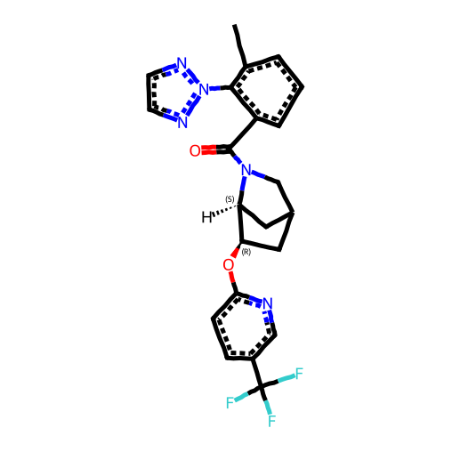 Cc1cccc(C(=O)N2CC3C[C@@H](Oc4ccc(C(F)(F)F)cn4)[C@@H]2C3)c1-n1nccn1